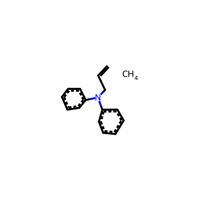 C.C=CCN(c1ccccc1)c1ccccc1